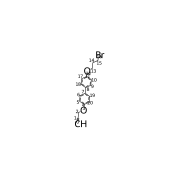 C#CCOc1ccc(-c2ccc(OCCCBr)cc2)cc1